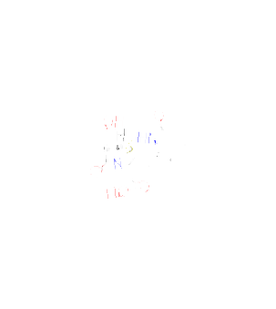 O=C1CCC[C@H](CC2=C(C(=O)O)N3C(=O)[C@H](CO)[C@H]3S2)N1